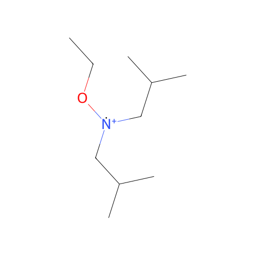 CCO[N+](CC(C)C)CC(C)C